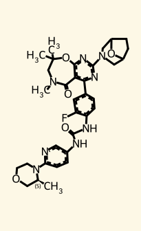 C[C@H]1COCCN1c1ccc(NC(=O)Nc2ccc(-c3nc(N4CC5CCC(C4)O5)nc4c3C(=O)N(C)CC(C)(C)O4)cc2F)cn1